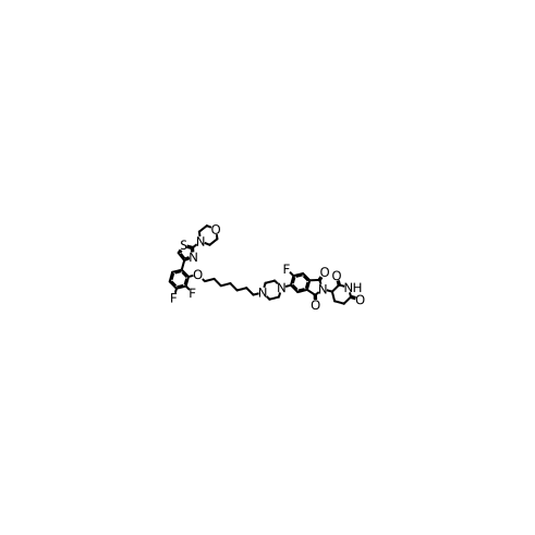 O=C1CCC(N2C(=O)c3cc(F)c(N4CCN(CCCCCCCOc5c(-c6csc(N7CCOCC7)n6)ccc(F)c5F)CC4)cc3C2=O)C(=O)N1